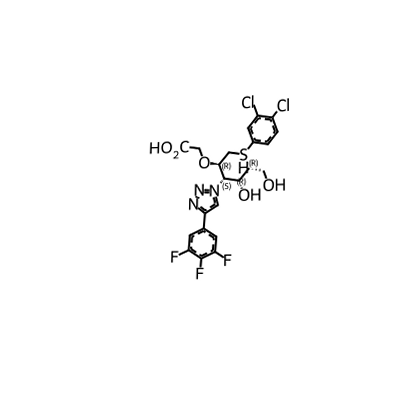 O=C(O)CO[C@H]1C[SH](c2ccc(Cl)c(Cl)c2)[C@H](CO)[C@H](O)[C@@H]1n1cc(-c2cc(F)c(F)c(F)c2)nn1